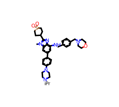 CC(C)N1CCN(c2ccc(-c3cc(NCc4ccc(CN5CCOCC5)cc4)c4nc(C5CCS(=O)(=O)CC5)n(C)c4c3)cc2)CC1